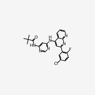 CC(C)(C)C(=O)Nc1cc(Nc2cc(-c3cc(Cl)ccc3F)nc3ncccc23)ncn1